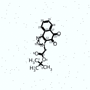 CC(C)(C)OC(=O)Cn1nnc2c1C(=O)C(=O)c1ccccc1-2